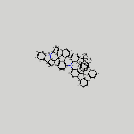 CC1(C)c2ccccc2-c2c(N(c3ccc4c(c3)C(c3ccccc3)(c3ccccc3)c3ccccc3-4)c3cccc4c3-c3ccccc3C43c4ccccc4-n4c5ccccc5c5cccc3c54)cccc21